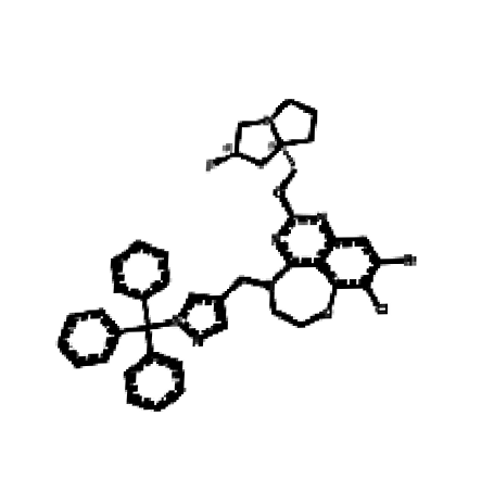 F[C@H]1CN2CCC[C@@]2(COc2nc3c4c(c(Cl)c(Br)cc4n2)OCCN3Cc2cnn(C(c3ccccc3)(c3ccccc3)c3ccccc3)c2)C1